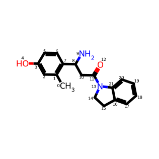 Cc1cc(O)ccc1C(N)CC(=O)N1CCc2ccccc21